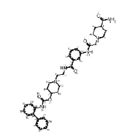 NC(=O)C1CCN(CC(=O)Nc2cccc(C(=O)NCCN3CCC(OC(=O)Nc4ccccc4-c4ccccc4)CC3)c2)CC1